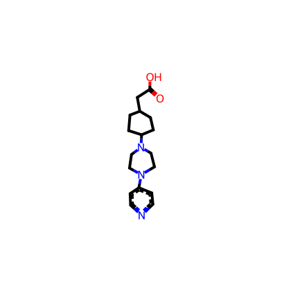 O=C(O)CC1CCC(N2CCN(c3ccncc3)CC2)CC1